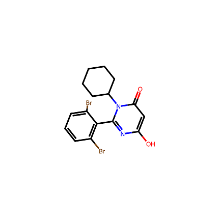 O=c1cc(O)nc(-c2c(Br)cccc2Br)n1C1CCCCC1